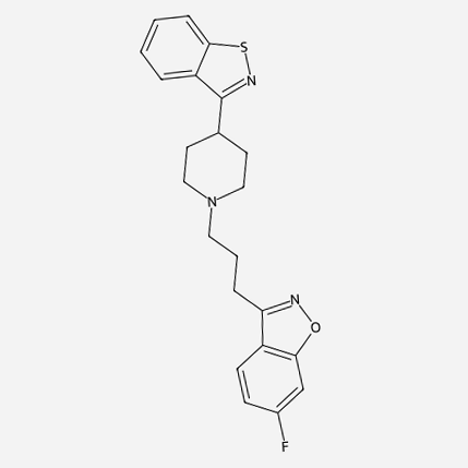 Fc1ccc2c(CCCN3CCC(c4nsc5ccccc45)CC3)noc2c1